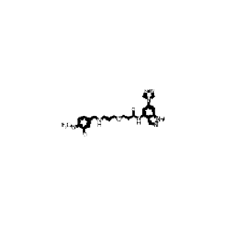 O=C(CCOCCCNCc1ccc(OC(F)(F)F)c(Cl)c1)Nc1cc(-n2cnnc2)cc2[nH]ncc12